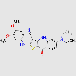 CCN(CC)c1ccc(C(=O)c2sc(Nc3ccc(OC)c(OC)c3)c(C#N)c2N)cc1